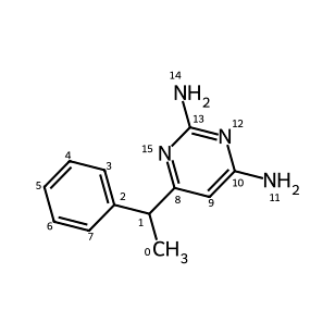 CC(c1ccccc1)c1cc(N)nc(N)n1